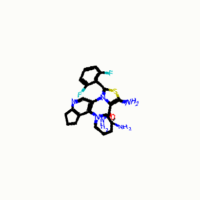 C[C@]1(N)CCCN(c2c(N3C(C(N)=O)=C(N)SC3c3c(F)cccc3F)cnc3c2CCC3)C1